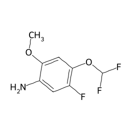 COc1cc(OC(F)F)c(F)cc1N